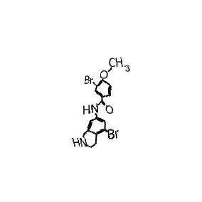 CCOc1ccc(C(=O)Nc2cc(Br)c3c(c2)CNCC3)cc1Br